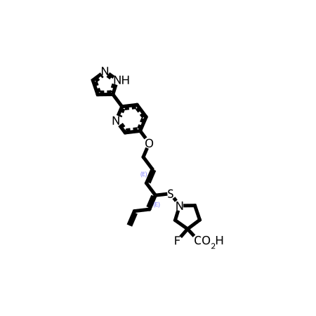 C=C/C=C(\C=C\COc1ccc(-c2ccn[nH]2)nc1)SN1CCC(F)(C(=O)O)C1